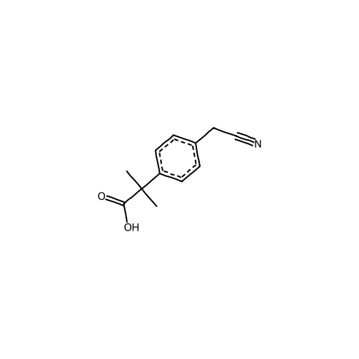 CC(C)(C(=O)O)c1ccc(CC#N)cc1